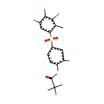 Cc1c(S(=O)(=O)c2ccc(NC(=O)C(C)(O)C(F)(F)F)c(Cl)c2)cc(F)c(F)c1F